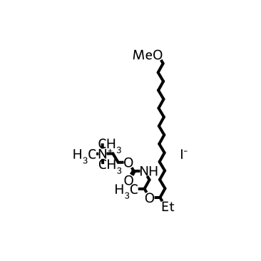 CCC(CCCCCCCCCCCCCCCOC)OC(C)CNC(=O)OCC[N+](C)(C)C.[I-]